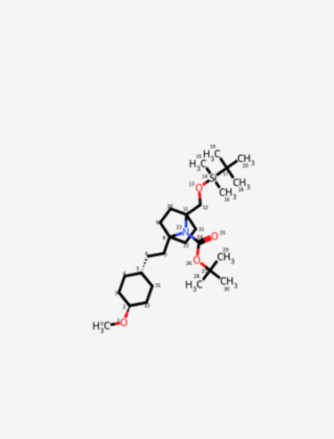 CO[C@H]1CC[C@H](CCC23CCC(CO[Si](C)(C)C(C)(C)C)(CC2)N3C(=O)OC(C)(C)C)CC1